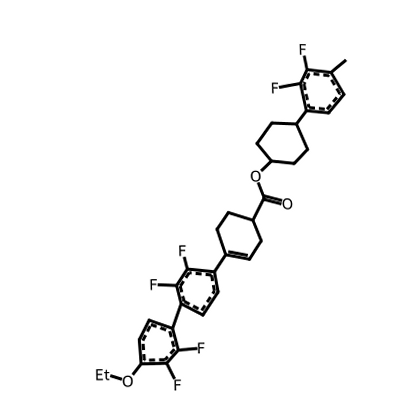 CCOc1ccc(-c2ccc(C3=CCC(C(=O)OC4CCC(c5ccc(C)c(F)c5F)CC4)CC3)c(F)c2F)c(F)c1F